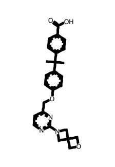 CC(C)(c1ccc(OCc2ccnc(N3CC4(COC4)C3)n2)cc1)c1ccc(C(=O)O)cc1